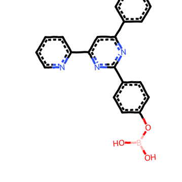 OB(O)Oc1ccc(-c2nc(-c3ccccc3)cc(-c3ccccn3)n2)cc1